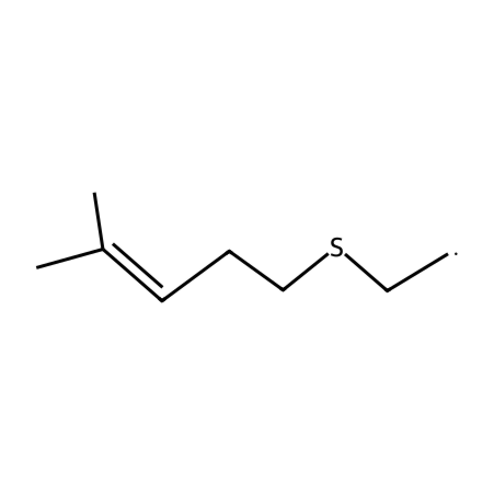 [CH2]CSCCC=C(C)C